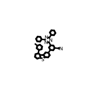 Cc1cccc(-c2cccc3sc4ccc(-c5cc(C#N)cc(-c6nc(-c7ccccc7)nc(-c7ccccc7)n6)c5)cc4c23)c1